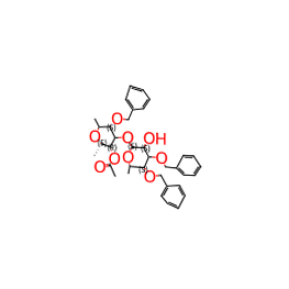 CC(=O)O[C@H]1C(O[C@@H]2OC(C)[C@H](OCc3ccccc3)C(OCc3ccccc3)[C@@H]2O)[C@@H](OCc2ccccc2)C(C)O[C@H]1C